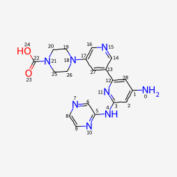 Nc1cc(Nc2cnccn2)nc(-c2cncc(N3CCN(C(=O)O)CC3)c2)c1